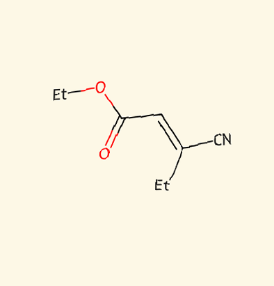 CCOC(=O)C=C(C#N)CC